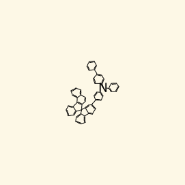 c1ccc(-c2ccc(N(c3ccccc3)c3ccc(-c4ccc5c(c4)C4(c6ccccc6-5)c5ccccc5-c5c4ccc4ccccc54)cc3)cc2)cc1